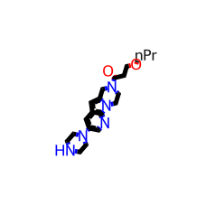 CCCOCCC(=O)N1CCn2c(cc3cc(N4CCNCC4)cnc32)C1